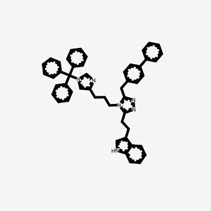 c1ccc(-c2ccc(Cc3nnc(CCc4c[nH]c5ccccc45)n3CCCc3cn(C(c4ccccc4)(c4ccccc4)c4ccccc4)cn3)cc2)cc1